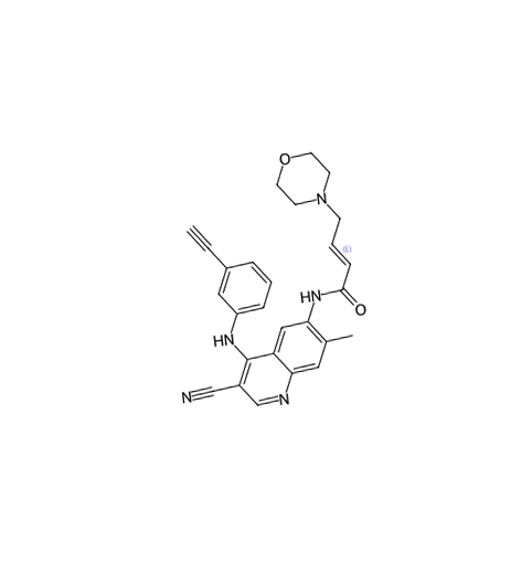 C#Cc1cccc(Nc2c(C#N)cnc3cc(C)c(NC(=O)/C=C/CN4CCOCC4)cc23)c1